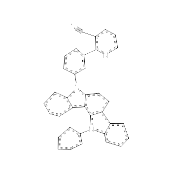 N#Cc1cccnc1-c1cccc(-n2c3ccccc3c3c2ccc2c4ccccc4n(-c4ccccc4)c23)c1